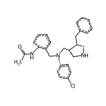 CC(=O)Nc1ccccc1CN(CC1CNCC1Cc1ccccc1)c1ccc(Cl)cc1